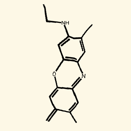 C=c1cc2c(cc1C)=Nc1cc(C)c(NCC)cc1O2